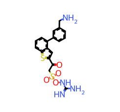 N=C(N)NOS(=O)(=O)CC(=O)c1cc2c(-c3cccc(CN)c3)cccc2s1